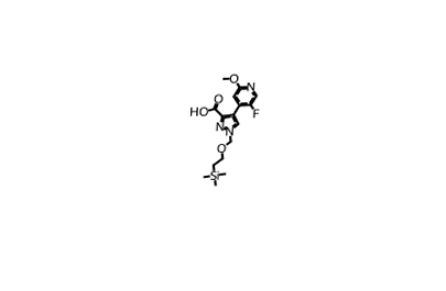 COc1cc(-c2cn(COCC[Si](C)(C)C)nc2C(=O)O)c(F)cn1